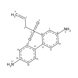 C=CCS(=O)(=O)c1cc(N)ccc1-c1ccc(N)cc1